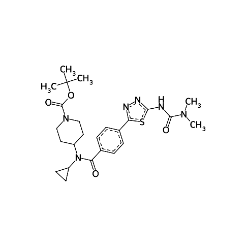 CN(C)C(=O)Nc1nnc(-c2ccc(C(=O)N(C3CC3)C3CCN(C(=O)OC(C)(C)C)CC3)cc2)s1